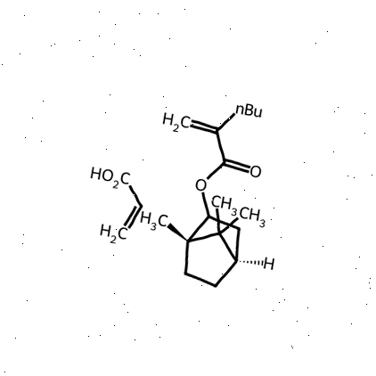 C=C(CCCC)C(=O)OC1C[C@H]2CC[C@@]1(C)C2(C)C.C=CC(=O)O